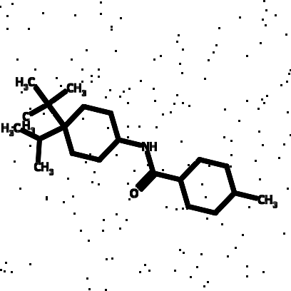 CC1CCC(C(=O)NC2CCC(C(C)C)(C(C)(C)C)CC2)CC1